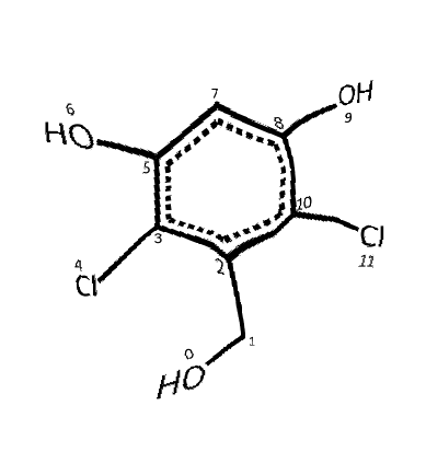 OCc1c(Cl)c(O)cc(O)c1Cl